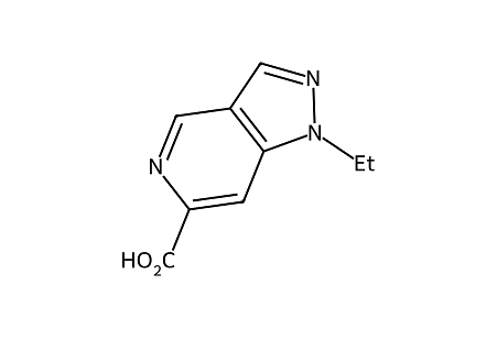 CCn1ncc2cnc(C(=O)O)cc21